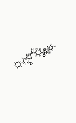 O=C1CC(c2ccccc2)Cc2nc(Nc3ccc(S(=O)(=O)Nc4nccs4)cc3)sc21